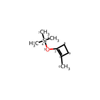 CC1=C(O[Si](C)(C)C)CC1